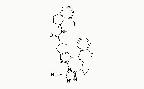 Cc1nnc2n1-c1sc3c(c1C(c1ccccc1Cl)=NC21CC1)C[C@H](C(=O)N[C@H]1CCc2cccc(F)c21)C3